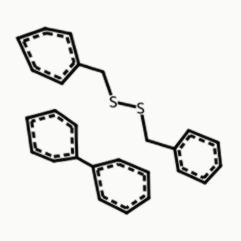 c1ccc(-c2ccccc2)cc1.c1ccc(CSSCc2ccccc2)cc1